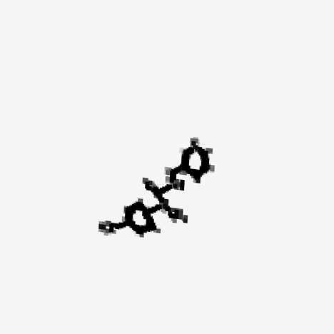 Cc1ccc(N(C)C(=O)NCc2cccnc2)cc1